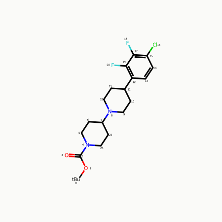 CC(C)(C)OC(=O)N1CCC(N2CCC(c3ccc(Cl)c(F)c3F)CC2)CC1